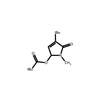 CN1C(=O)C(C(C)(C)C)=CC1OC(=O)C(C)(C)C